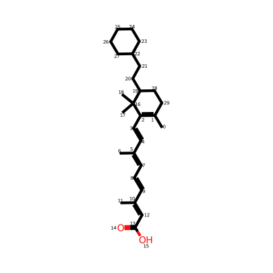 CC1=C(/C=C/C(C)=C/C=C/C(C)=C/C(=O)O)C(C)(C)C(CCC2CCCCC2)CC1